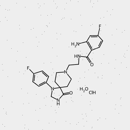 Cl.Nc1cc(F)ccc1C(=O)NCCN1CCC2(CC1)C(=O)NCN2c1ccc(F)cc1.O